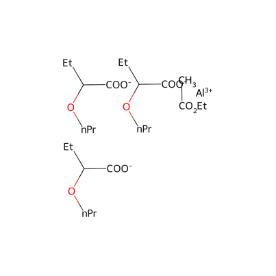 CCCOC(CC)C(=O)[O-].CCCOC(CC)C(=O)[O-].CCCOC(CC)C(=O)[O-].CCOC(C)=O.[Al+3]